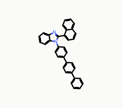 c1ccc(-c2ccc(-c3ccc(-n4c(-c5cccc6ccccc56)nc5ccccc54)cc3)cc2)cc1